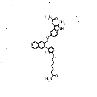 Cc1[nH]c2ccc(OCc3cc4ccccc4cc3-c3cnc(CCCCCCC(N)=O)[nH]3)cc2c1CC(N)=O